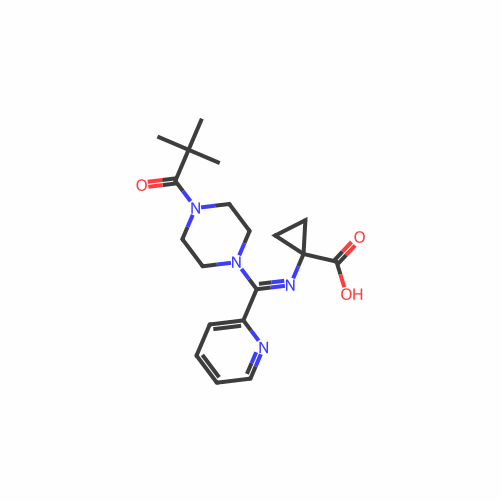 CC(C)(C)C(=O)N1CCN(C(=NC2(C(=O)O)CC2)c2ccccn2)CC1